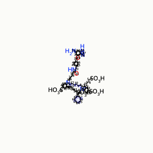 CC1(CCCCS(=O)(=O)O)C(/C=C/C=C/C=C2/N(CCCCCC(=O)NCc3ccc(COc4cc(N)cc5[nH]cnc45)cc3)c3ccc(S(=O)(=O)O)cc3C2(C)CCCCS(=O)(=O)O)=[N+](CCCC2=C/C=C\C=C/C=C\2)c2ccc(S(=O)(=O)O)cc21